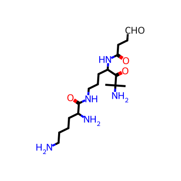 CC(C)(N)C(=O)C(CCCNC(=O)C(N)CCCCN)NC(=O)CCC=O